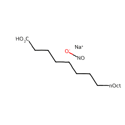 CCCCCCCCCCCCCCCC(=O)O.O=N[O-].[Na+]